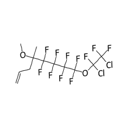 C=CCC(C)(OC)C(F)(F)C(F)(F)C(F)(F)C(F)(F)OC(F)(Cl)C(F)(F)Cl